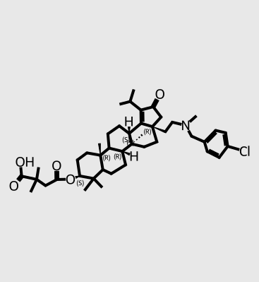 CC(C)C1=C2[C@H]3CCC4[C@@H](CCC5C(C)(C)[C@@H](OC(=O)CC(C)(C)C(=O)O)CC[C@]45C)[C@]3(C)CC[C@@]2(CCN(C)Cc2ccc(Cl)cc2)CC1=O